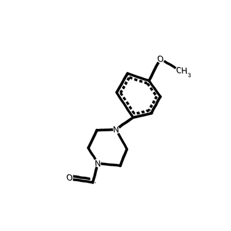 COc1ccc(N2CCN([C]=O)CC2)cc1